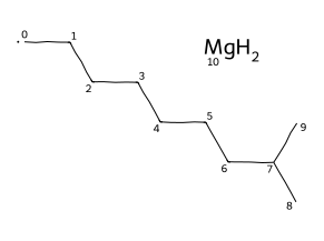 [CH2]CCCCCCC(C)C.[MgH2]